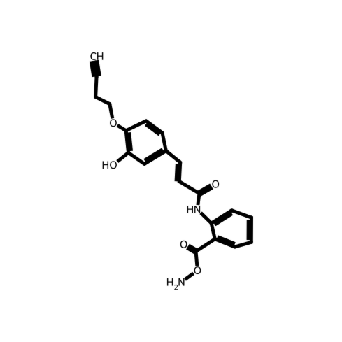 C#CCCOc1ccc(/C=C/C(=O)Nc2ccccc2C(=O)ON)cc1O